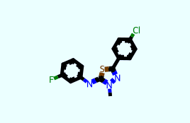 Cn1nc(-c2ccc(Cl)cc2)sc1=Nc1cccc(F)c1